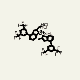 CCC1=Cc2c(-c3cc(C(F)(F)F)cc(C(F)(F)F)c3)cccc2[CH]1[Zr]([CH3])([CH3])(=[SiH2])[CH]1C(C)=Cc2c(-c3cc(C(F)(F)F)cc(C(F)(F)F)c3)cccc21.Cl.Cl